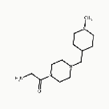 CN1CCC(CN2CCN(C(=O)CN)CC2)CC1